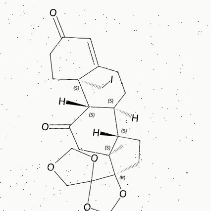 C[C@]12CC(=O)[C@H]3[C@@H](CCC4=CC(=O)CC[C@@]43CI)[C@@H]1CC[C@@]21OCOC12COCO2